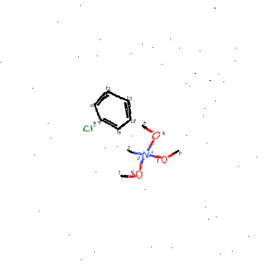 CO[N+](C)(OC)OC.[Cl-].c1ccccc1